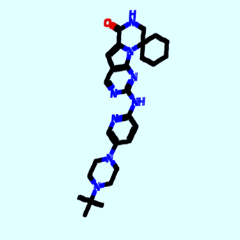 CC(C)(C)N1CCN(c2ccc(Nc3ncc4cc5n(c4n3)C3(CCCCC3)CNC5=O)nc2)CC1